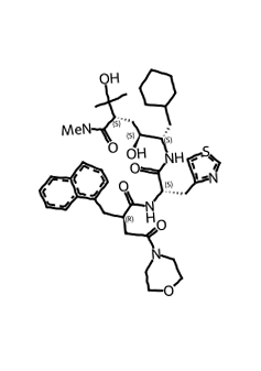 CNC(=O)[C@@H](C[C@H](O)[C@H](CC1CCCCC1)NC(=O)[C@H](Cc1cscn1)NC(=O)[C@@H](CC(=O)N1CCOCC1)Cc1cccc2ccccc12)C(C)(C)O